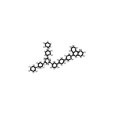 c1ccc(-c2ccc(-c3nc(-c4ccc(-c5ccccc5)cc4)nc(-c4cccc(-c5ccc(-c6ccc(-c7cc8cccnc8c8ccccc78)cc6)cc5)c4)n3)cc2)cc1